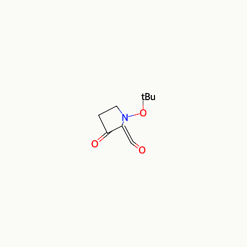 CC(C)(C)ON1CCC(=O)C1=C=O